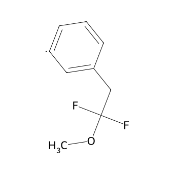 COC(F)(F)Cc1c[c]ccc1